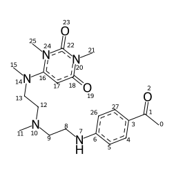 CC(=O)c1ccc(NCCN(C)CCN(C)c2cc(=O)n(C)c(=O)n2C)cc1